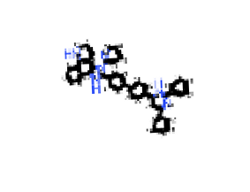 C1=Cc2c3c(c4ccccc4c2NC1)NC(c1ccc(-c2ccc(C4=CC(c5ccccc5)=NC(c5ccccc5)N4)cc2)cc1)N3c1ccccn1